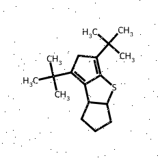 CC(C)(C)C1=C2SC3CCCC3C2=C(C(C)(C)C)C1